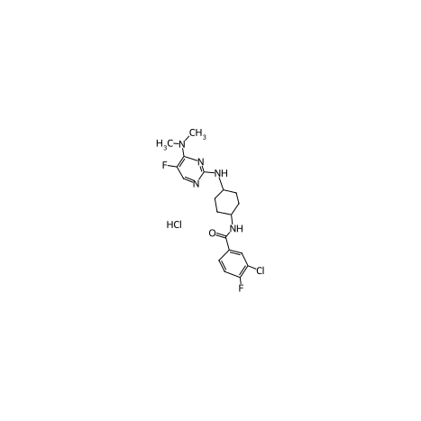 CN(C)c1nc(NC2CCC(NC(=O)c3ccc(F)c(Cl)c3)CC2)ncc1F.Cl